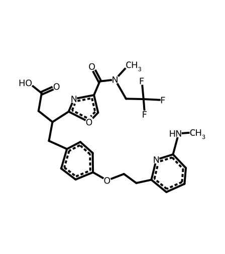 CNc1cccc(CCOc2ccc(CC(CC(=O)O)c3nc(C(=O)N(C)CC(F)(F)F)co3)cc2)n1